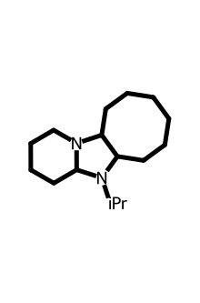 CC(C)N1C2CCCCCCC2N2CCCCC21